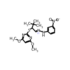 COc1cc(OC)nc(SC(/C=N/Nc2cccc([N+](=O)[O-])c2)C(C)(C)C)n1